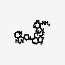 Nc1ncnc2c1ncn2Cc1c(N2CCC(N)(c3ccccn3)C2)ccc(F)c1C(F)(F)F